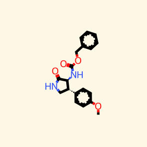 COc1ccc([C@@H]2CNC(=O)[C@H]2NC(=O)OCc2ccccc2)cc1